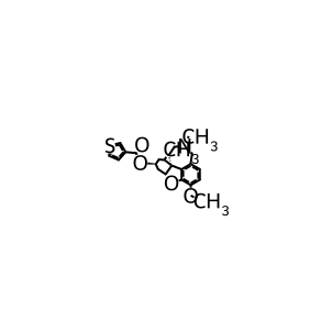 COc1ccc2c3c1OC1C[C@@H](OC(=O)c4ccsc4)CC(C)[C@@]31CCN(C)C2